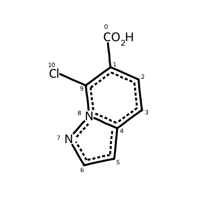 O=C(O)c1ccc2ccnn2c1Cl